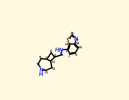 c1cc(NCC2CC3CCNCCC32)c2scnc2c1